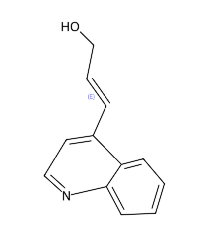 OC/C=C/c1ccnc2ccccc12